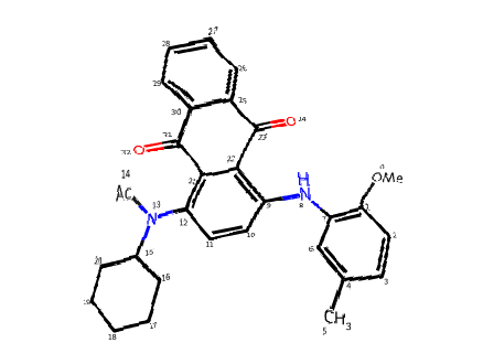 COc1ccc(C)cc1Nc1ccc(N(C(C)=O)C2CCCCC2)c2c1C(=O)c1ccccc1C2=O